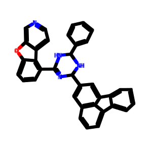 c1ccc(C2NC(c3cccc4oc5cnccc5c34)=NC(c3cc4c5c(cccc5c3)-c3ccccc3-4)N2)cc1